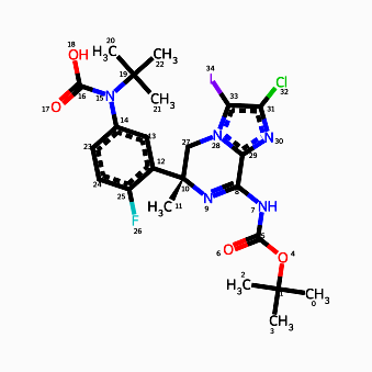 CC(C)(C)OC(=O)NC1=N[C@](C)(c2cc(N(C(=O)O)C(C)(C)C)ccc2F)Cn2c1nc(Cl)c2I